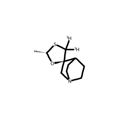 [3H]C1([3H])S[C@@H](C)O[C@@]12CN1CCC2CC1